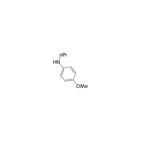 CCCNc1ccc(OC)cc1